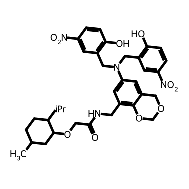 CC1CCC(C(C)C)C(OCC(=O)NCc2cc(N(Cc3cc([N+](=O)[O-])ccc3O)Cc3cc([N+](=O)[O-])ccc3O)cc3c2OCOC3)C1